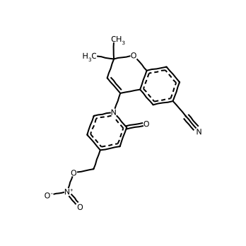 CC1(C)C=C(n2ccc(CO[N+](=O)[O-])cc2=O)c2cc(C#N)ccc2O1